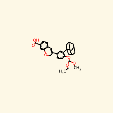 CCOC(OC)Oc1ccc(C2=Cc3ccc(C(=O)O)cc3OC2)cc1C12CC3CC(CC(C3)C1)C2